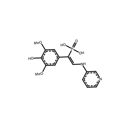 COc1cc(C(=CNc2cccnc2)P(=O)(O)O)cc(OC)c1O